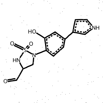 O=CC1CN(c2ccc(-c3cc[nH]c3)cc2O)S(=O)(=O)N1